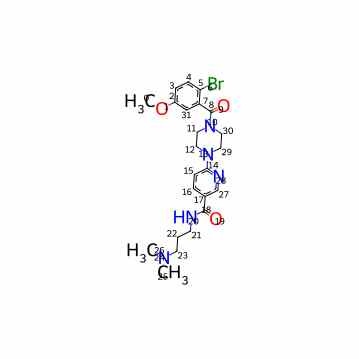 COc1ccc(Br)c(C(=O)N2CCN(c3ccc(C(=O)NCCCN(C)C)cn3)CC2)c1